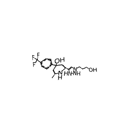 C[C@H]1CC(O)(c2ccc(C(F)(F)F)cc2)C[C@@H](C2=CN(CCCO)NN2)N1